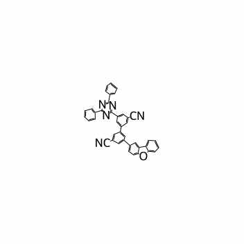 N#Cc1cc(-c2cc(C#N)cc(-c3nc(-c4ccccc4)nc(-c4ccccc4)n3)c2)cc(-c2ccc3oc4ccccc4c3c2)c1